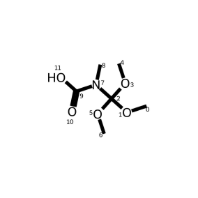 COC(OC)(OC)N(C)C(=O)O